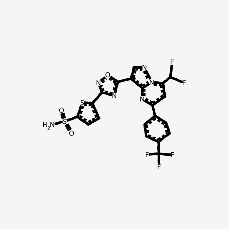 NS(=O)(=O)c1ccc(-c2noc(-c3cnn4c(C(F)F)cc(-c5ccc(C(F)(F)F)cc5)nc34)n2)s1